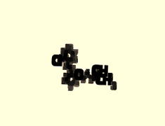 CN(C)CCCOc1ccccc1CCc1ccccc1Cl